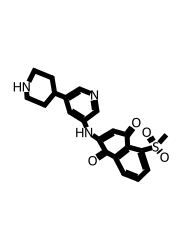 CS(=O)(=O)c1cccc2c1C(=O)C=C(Nc1cncc(C3CCNCC3)c1)C2=O